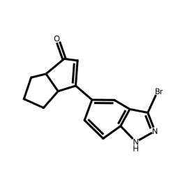 O=C1C=C(c2ccc3[nH]nc(Br)c3c2)C2CCCC12